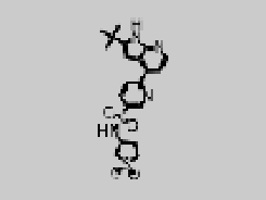 CC(C)(C)c1cc2c(-c3ccc(S(=O)(=O)NC4CCS(=O)(=O)C4)cn3)ccnc2[nH]1